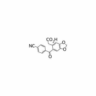 N#Cc1ccc(C(=O)c2cc3c(cc2CC(=O)O)OCO3)cc1